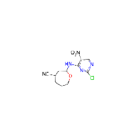 N#CC1CCCOC(Nc2nc(Cl)ncc2[N+](=O)[O-])C1